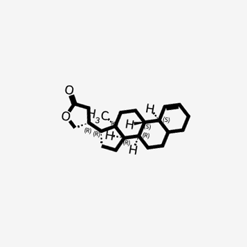 C[C@]12CC[C@H]3[C@@H](CCC4CCC=C[C@@H]43)[C@H]1CC[C@@H]2[C@@H]1COC(=O)C1